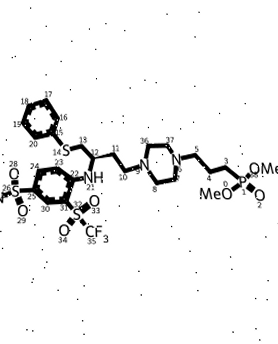 COP(=O)(CCCN1CCN(CC[C@H](CSc2ccccc2)Nc2ccc(S(N)(=O)=O)cc2S(=O)(=O)C(F)(F)F)CC1)OC